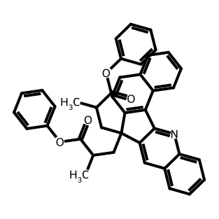 CC(CC1(CC(C)C(=O)Oc2ccccc2)c2cc3ccccc3nc2-c2c1ccc1ccccc21)C(=O)Oc1ccccc1